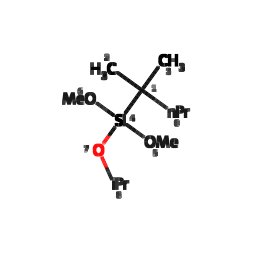 CCCC(C)(C)[Si](OC)(OC)OC(C)C